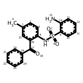 Cc1ccc(NS(=O)(=O)c2ccccc2N)c(C(=O)c2ccccc2)c1